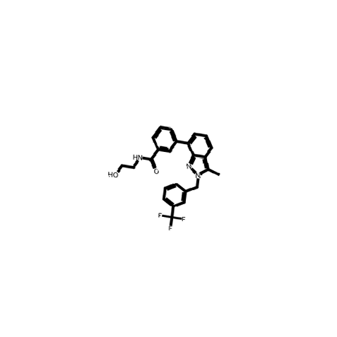 Cc1c2cccc(-c3cccc(C(=O)NCCO)c3)c2nn1Cc1cccc(C(F)(F)F)c1